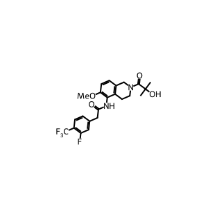 COc1ccc2c(c1NC(=O)Cc1ccc(C(F)(F)F)c(F)c1)CCN(C(=O)C(C)(C)O)C2